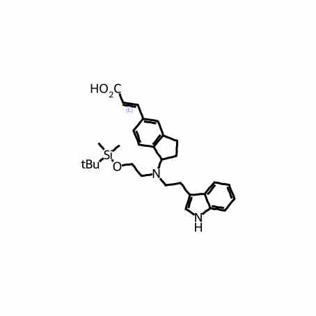 CC(C)(C)[Si](C)(C)OCCN(CCc1c[nH]c2ccccc12)C1CCc2cc(/C=C/C(=O)O)ccc21